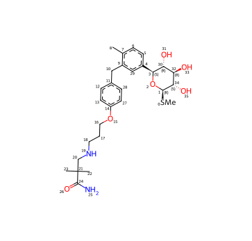 CS[C@H]1O[C@@H](c2ccc(C)c(Cc3ccc(OCCCNCC(C)(C)C(N)=O)cc3)c2)[C@H](O)[C@@H](O)[C@@H]1O